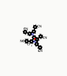 N#Cc1cccc(-c2ccc3c(c2)c2cc(-c4cccc(C#N)c4)ccc2n3-c2ccc(C#N)c(-c3cc(-c4ccc(C#N)cc4C(F)(F)F)ccc3-n3c4ccc(-c5cccc(C#N)c5)cc4c4cc(-c5cccc(C#N)c5)ccc43)c2)c1